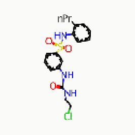 CCCc1ccccc1NS(=O)(=O)c1cccc(NC(=O)NCCCl)c1